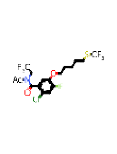 CC(=O)N(CC(F)(F)F)C(=O)c1cc(OCCCCCSC(F)(F)F)c(F)cc1Cl